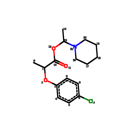 CC(Oc1ccc(Cl)cc1)C(=O)OC(C)N1CCCCC1